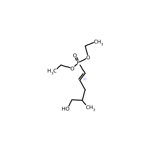 CCOP(=O)(/C=C/CC(C)CO)OCC